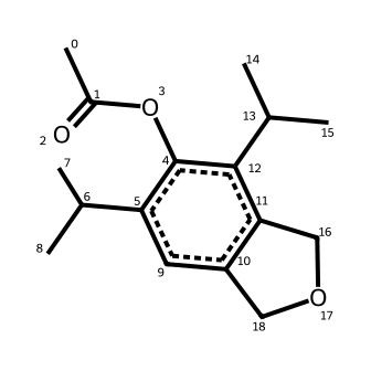 CC(=O)Oc1c(C(C)C)cc2c(c1C(C)C)COC2